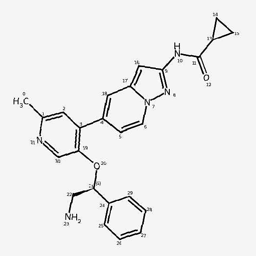 Cc1cc(-c2ccn3nc(NC(=O)C4CC4)cc3c2)c(O[C@H](CN)c2ccccc2)cn1